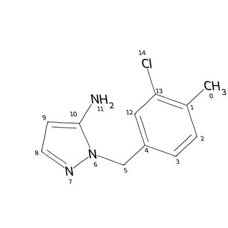 Cc1ccc(Cn2nccc2N)cc1Cl